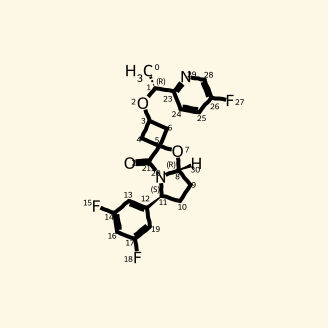 C[C@@H](OC1CC2(C1)O[C@@H]1CC[C@@H](c3cc(F)cc(F)c3)N1C2=O)c1ccc(F)cn1